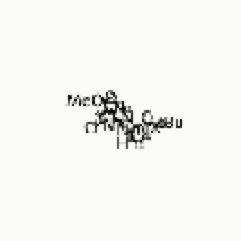 COC(=O)c1cc(Cl)nc2c(N[C@H]3CCCN(C(=O)OC(C)(C)C)C3)ncnc12